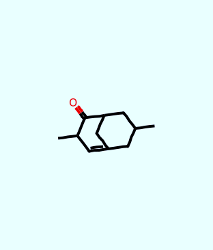 CC1CC2=CC(C)C(=O)C(C2)C1